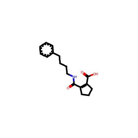 O=C(O)C1=C(C(=O)NCCCCc2ccccc2)CCC1